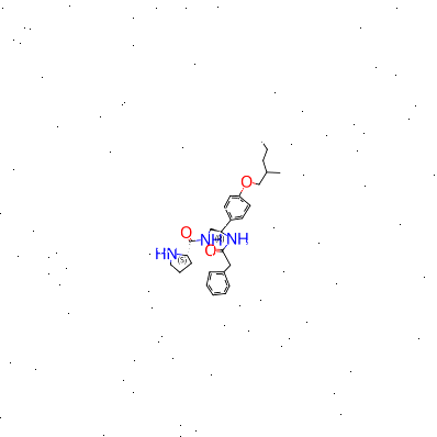 CCCC(C)COc1ccc([C@H](CNC(=O)[C@@H]2CCCN2)NC(=O)Cc2ccccc2)cc1